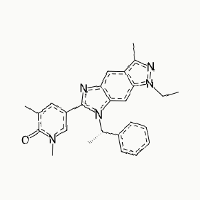 CCn1nc(C)c2cc3nc(-c4cc(C)c(=O)n(C)c4)n([C@@H](C)c4ccccc4)c3cc21